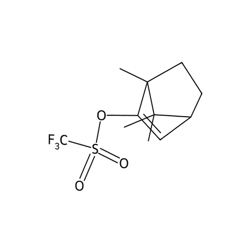 CC12CCC(C=C1OS(=O)(=O)C(F)(F)F)C2(C)C